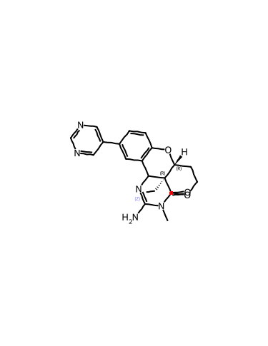 CC[C@@]12COCC[C@H]1Oc1ccc(-c3cncnc3)cc1C2/N=C(/N)N(C)C=O